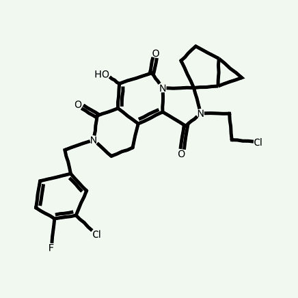 O=C1c2c(c3n(c(=O)c2O)C2(CCC4CC42)N(CCCl)C3=O)CCN1Cc1ccc(F)c(Cl)c1